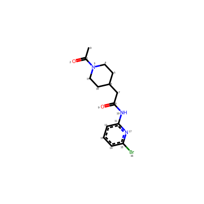 CC(=O)N1CCC(CC(=O)Nc2cccc(Br)n2)CC1